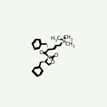 C[Si](C)(C)C/C=C/[C@@H](Cc1ccccc1)C(=O)N1C(=O)OC[C@H]1Cc1ccccc1